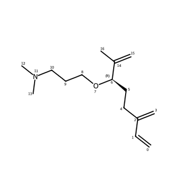 C=CC(=C)CC[C@@H](OCCCN(C)C)C(=C)C